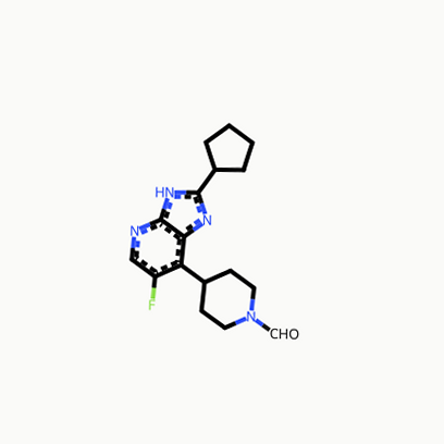 O=CN1CCC(c2c(F)cnc3[nH]c(C4CCCC4)nc23)CC1